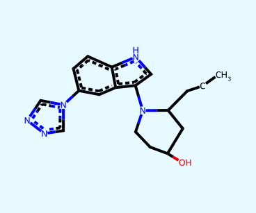 CCCC1CC(O)CCN1c1c[nH]c2ccc(-n3cnnc3)cc12